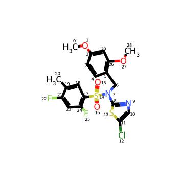 COc1ccc(CN(c2ncc(Cl)s2)S(=O)(=O)c2cc(C)c(F)cc2F)c(OC)c1